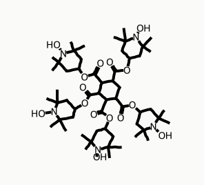 CC1(C)CC(OC(=O)C2CC(C(=O)OC3CC(C)(C)N(O)C(C)(C)C3)C(C(=O)OC3CC(C)(C)N(O)C(C)(C)C3)C(C(=O)OC3CC(C)(C)N(O)C(C)(C)C3)C2C(=O)OC2CC(C)(C)N(O)C(C)(C)C2)CC(C)(C)N1O